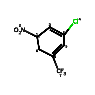 O=[N+]([O-])[C]1C=C(Cl)C=C(C(F)(F)F)C1